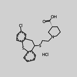 Cl.O=C(O)[C@@H]1CCCN(CCSC2Cc3cc(Cl)ccc3Sc3ccccc32)C1